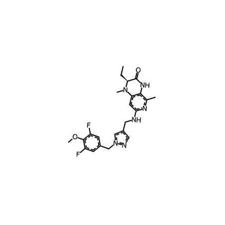 CC[C@H]1C(=O)Nc2c(cc(NCc3cnn(Cc4cc(F)c(OC)c(F)c4)c3)nc2C)N1C